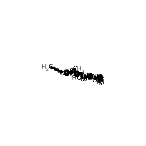 CCCCCCCOc1ccc(C(=O)Oc2ccc(CC(NC(=O)c3ccc(NC(=O)c4cccc5nsnc45)cc3)C(=O)O)cc2OC)cc1